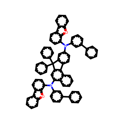 c1ccc(-c2cccc(N(c3ccc4c(c3)C(c3ccccc3)(c3ccccc3)c3cc(N(c5cccc(-c6ccccc6)c5)c5cccc6c5oc5ccccc56)c5ccccc5c3-4)c3cccc4c3oc3ccccc34)c2)cc1